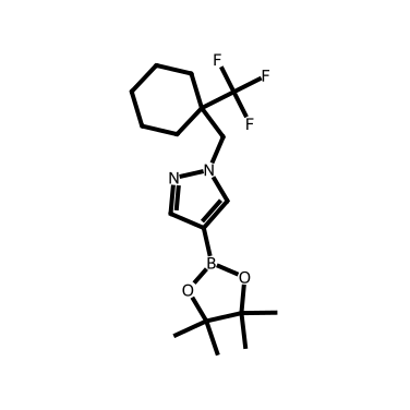 CC1(C)OB(c2cnn(CC3(C(F)(F)F)CCCCC3)c2)OC1(C)C